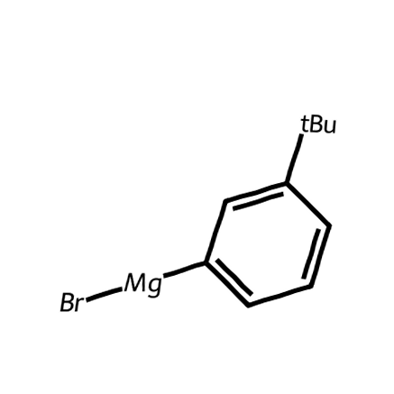 CC(C)(C)c1ccc[c]([Mg][Br])c1